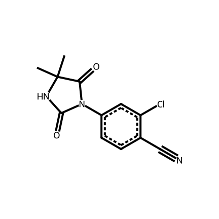 CC1(C)NC(=O)N(c2ccc(C#N)c(Cl)c2)C1=O